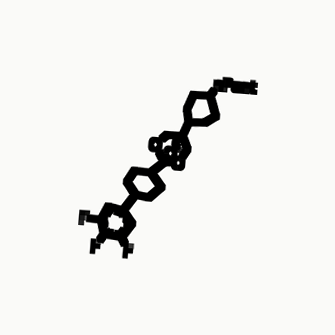 CCCCCC1CCC(C23COC(C4CCC(c5cc(F)c(F)c(F)c5)CC4)(OC2)OC3)CC1